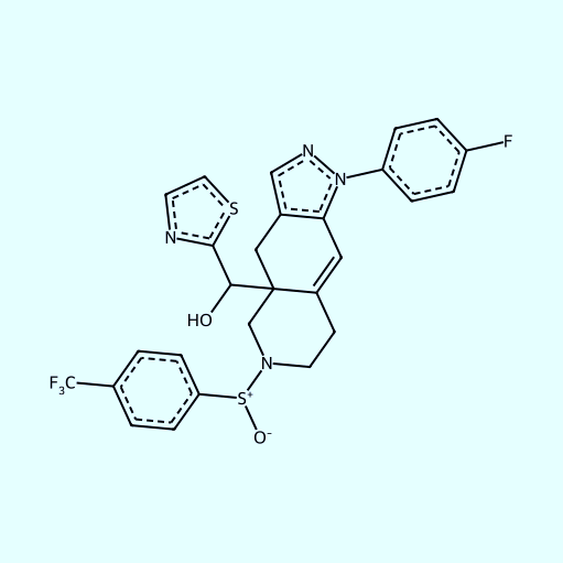 [O-][S+](c1ccc(C(F)(F)F)cc1)N1CCC2=Cc3c(cnn3-c3ccc(F)cc3)CC2(C(O)c2nccs2)C1